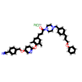 Cc1cc(C=CC(=O)N2CCN(Cc3ccc(C=CCOc4ccccc4)cc3)CC2)cc(C)c1Oc1ccc(OCc2ccc(C#N)cc2)cn1.Cl